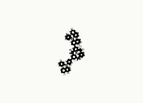 CC1(C)c2cccc3c2N2c4c1cc(-c1ccc(N(c5ccccc5)c5cccc6ccccc56)cc1)cc4C(C)(C)c1cc(-c4ccc(N(c5ccccc5)c5cccc6ccccc56)c5ccccc45)cc(c12)C3(C)C